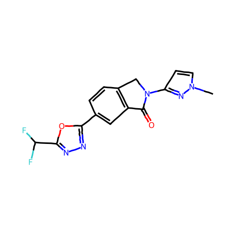 Cn1ccc(N2Cc3ccc(-c4nnc(C(F)F)o4)cc3C2=O)n1